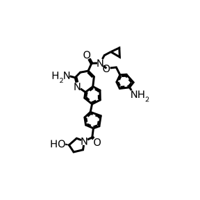 NC1=Nc2cc(-c3ccc(C(=O)N4CC[C@@H](O)C4)cc3)ccc2C=C(C(=O)N(CC2CC2)OCc2ccc(N)cc2)C1